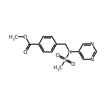 COC(=O)c1ccc(CN(c2cncnc2)S(C)(=O)=O)cc1